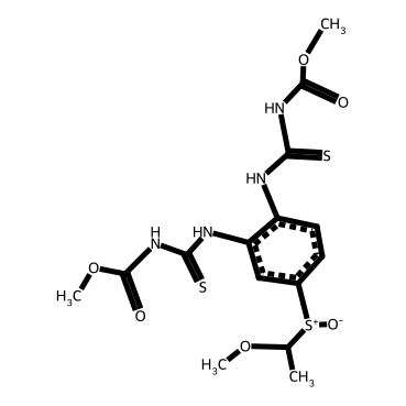 COC(=O)NC(=S)Nc1ccc([S+]([O-])C(C)OC)cc1NC(=S)NC(=O)OC